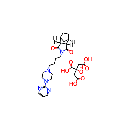 O=C(O)CC(O)(CC(=O)O)C(=O)O.O=C1[C@@H]2[C@H]3CC[C@H](C3)[C@@H]2C(=O)N1CCCCN1CCN(c2ncccn2)CC1